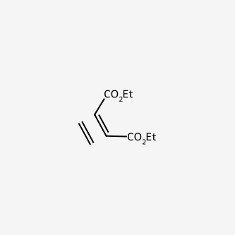 C=C.CCOC(=O)/C=C\C(=O)OCC